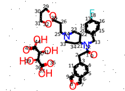 O=C(Cc1ccc2cocc2c1)N(Cc1ccc(F)cc1)C1CCN(CCC2OCCCO2)CC1.O=C(O)C(O)C(O)C(=O)O